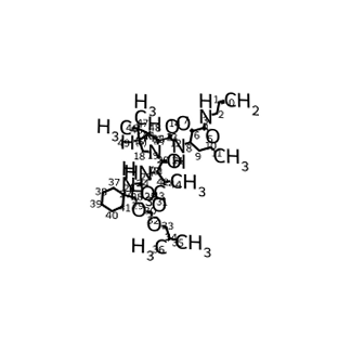 C=CCNC(=O)C(=O)C(CCC)NC(=O)[C@@H]1[C@@H]2[C@H](CN1C(=O)[C@@H](NC(=O)NC1(COC(=O)OCC(C)C)CCCCC1)C(C)C)C2(C)C